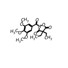 CCC1(CC)C(=O)ON(C(=O)c2cc(OC)c(OC)c(OC)c2)C1=O